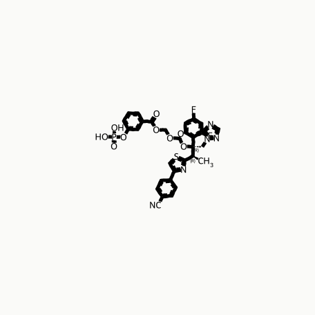 C[C@@H](c1nc(-c2ccc(C#N)cc2)cs1)[C@@](Cn1cncn1)(OC(=O)OCOC(=O)c1cccc(OP(=O)(O)O)c1)c1ccc(F)cc1F